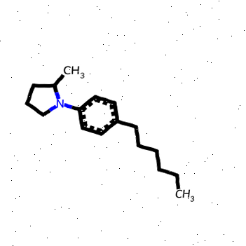 CCCCCCc1ccc(N2CCCC2C)cc1